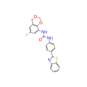 O=C(Nc1ccc(-c2nc3ccccc3s2)cc1)Nc1cc(F)cc2c1OCOC2